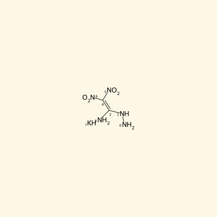 NNC(N)=C([N+](=O)[O-])[N+](=O)[O-].[KH]